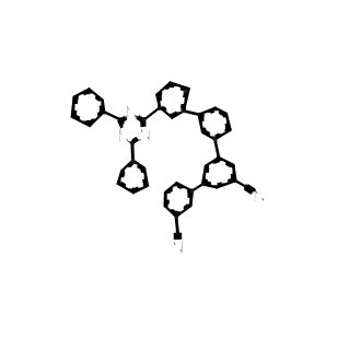 N#Cc1cccc(-c2cc(C#N)cc(-c3cccc(-c4cccc(-c5nc(-c6ccccc6)nc(-c6ccccc6)n5)c4)c3)c2)c1